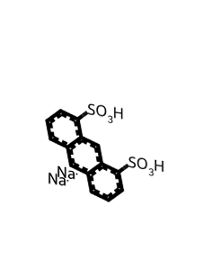 O=S(=O)(O)c1cccc2cc3cccc(S(=O)(=O)O)c3cc12.[Na].[Na]